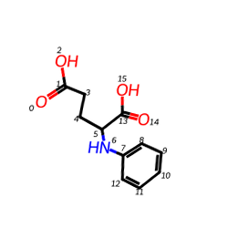 O=C(O)CCC(Nc1ccccc1)C(=O)O